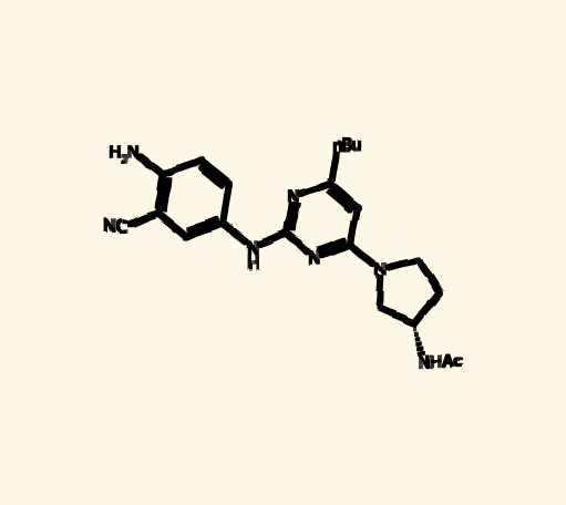 CCCCc1cc(N2CC[C@H](NC(C)=O)C2)nc(Nc2ccc(N)c(C#N)c2)n1